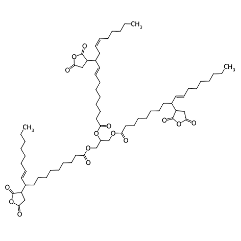 CCCCC/C=C\CC(/C=C/CCCCCCC(=O)OC(COC(=O)CCCCCCCCC(/C=C/CCCCCC)C1CC(=O)OC1=O)COC(=O)CCCCCCCC(/C=C/CCCCCCC)C1CC(=O)OC1=O)C1CC(=O)OC1=O